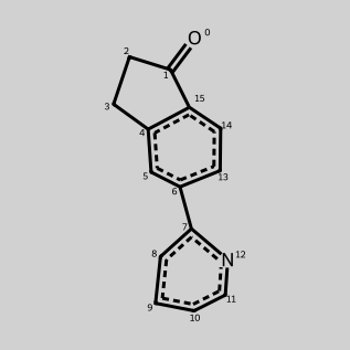 O=C1CCc2cc(-c3ccccn3)ccc21